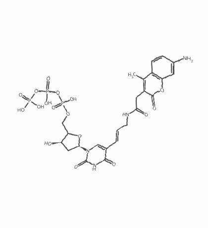 Cc1c(CC(=O)NC/C=C/c2cn([C@H]3C[C@@H](O)C(COP(=O)(O)OP(=O)(O)OP(=O)(O)O)O3)c(=O)[nH]c2=O)c(=O)oc2cc(N)ccc12